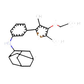 Cc1c(-c2cccc(NC3C4CC5CC(C4)CC3C5)c2)sc(C(=O)O)c1OCC(=O)O